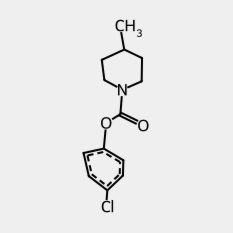 CC1CCN(C(=O)Oc2ccc(Cl)cc2)CC1